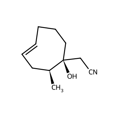 C[C@H]1C/C=C/CCC[C@]1(O)CC#N